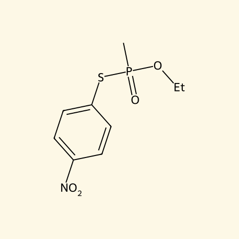 CCOP(C)(=O)Sc1ccc([N+](=O)[O-])cc1